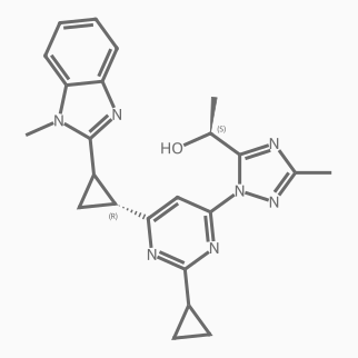 Cc1nc([C@H](C)O)n(-c2cc([C@@H]3CC3c3nc4ccccc4n3C)nc(C3CC3)n2)n1